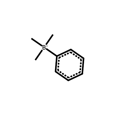 C[B-](C)(C)c1ccccc1